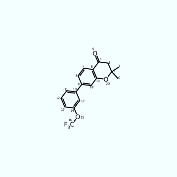 CC1(C)CC(=O)c2ccc(-c3cccc(OC(F)(F)F)c3)cc2O1